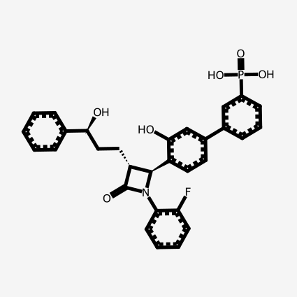 O=C1[C@H](CC[C@H](O)c2ccccc2)[C@@H](c2ccc(-c3cccc(P(=O)(O)O)c3)cc2O)N1c1ccccc1F